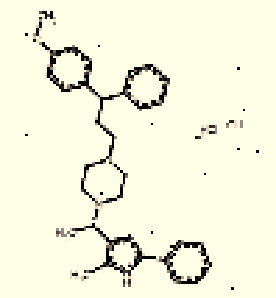 COc1ccc(C(CCN2CCN(C(C)c3nc(-c4ccccc4)[nH]c3C)CC2)c2ccccc2)cc1.Cl.Cl.Cl